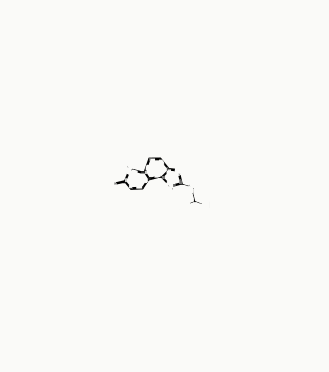 CC(C)Nc1nc2c(ccc3[nH]c(=O)ccc32)s1